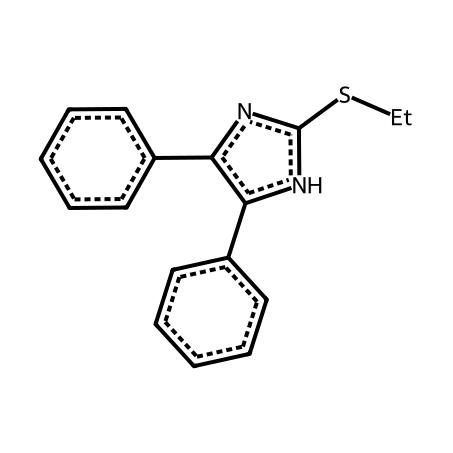 [CH2]CSc1nc(-c2ccccc2)c(-c2ccccc2)[nH]1